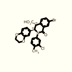 Cc1ccc(N2C(=O)c3cc(Br)ccc3[C@@H](C(=O)O)[C@@H]2c2ccc3c(c2)OCCO3)cc1Cl